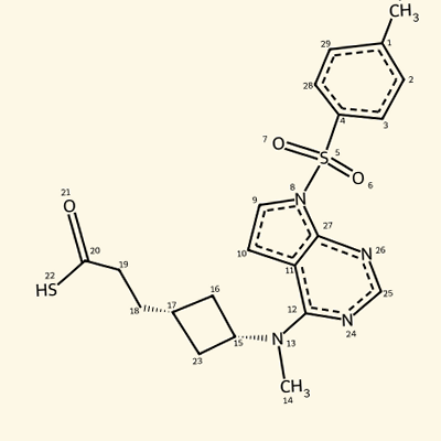 Cc1ccc(S(=O)(=O)n2ccc3c(N(C)[C@H]4C[C@@H](CCC(=O)S)C4)ncnc32)cc1